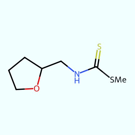 CSC(=S)NCC1CCCO1